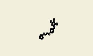 O=C1NC(=O)/C(=C/c2ccc(OCCOc3ccccc3)cc2)S1